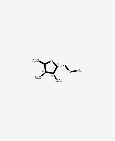 CCCCOC[C@H]1OC(OC(C)=O)[C@H](OC(C)=O)[C@@H]1OC(C)=O